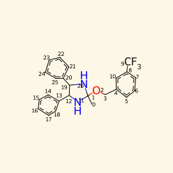 CC1(OCc2cccc(C(F)(F)F)c2)NC(c2ccccc2)C(c2ccccc2)N1